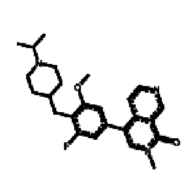 COc1cc(-c2cn(C)c(=O)c3cnccc23)cc(F)c1CC1CCN(C(C)C)CC1